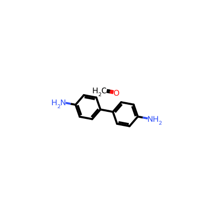 C=O.Nc1ccc(-c2ccc(N)cc2)cc1